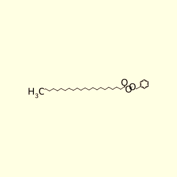 CCCCCCCCCCCCCCCCCCCCCC(=O)OOCc1ccccc1